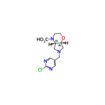 O=C(O)N1CCO[C@@H]2CN(Cc3cnc(Cl)nc3)C[C@@H]21